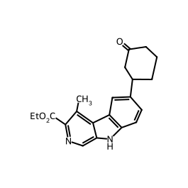 CCOC(=O)c1ncc2[nH]c3ccc(C4CCCC(=O)C4)cc3c2c1C